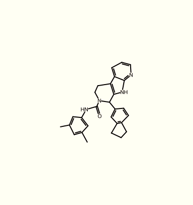 Cc1cc(C)cc(NC(=O)N2CCc3c([nH]c4ncccc34)C2c2ccc3c(c2)CCC3)c1